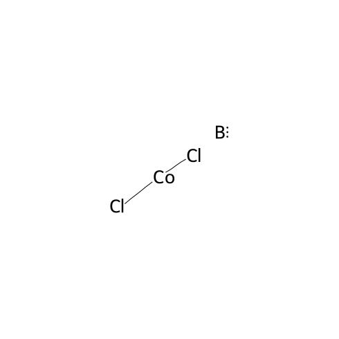 [B].[Cl][Co][Cl]